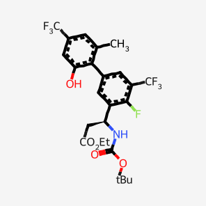 CCOC(=O)C[C@H](NC(=O)OC(C)(C)C)c1cc(-c2c(C)cc(C(F)(F)F)cc2O)cc(C(F)(F)F)c1F